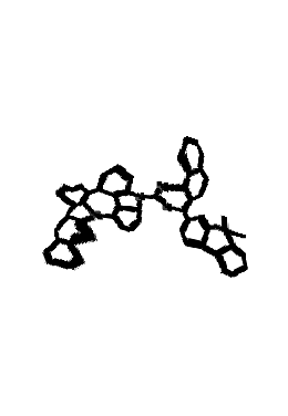 CC1(C)c2ccccc2-c2ccc(-c3nc(-n4c5cccc6c7cccc8c9cc%10ccccc%10cc9n(c9cccc4c9c65)c78)nc4c3ccc3ccccc34)cc21